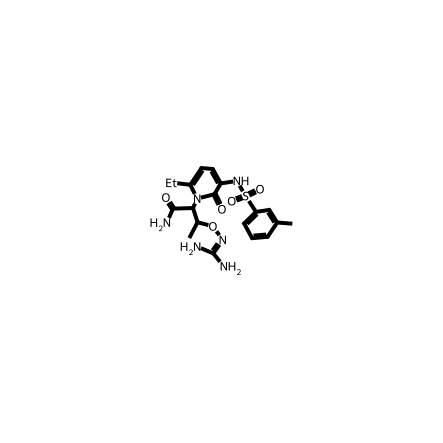 CCc1ccc(NS(=O)(=O)c2cccc(C)c2)c(=O)n1C(C(N)=O)C(C)ON=C(N)N